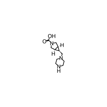 O=C(O)N1C[C@@H]2[C@H](CN3CCNCC3)[C@@H]2C1